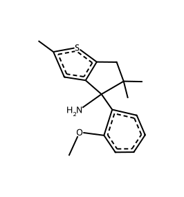 COc1ccccc1C1(N)c2cc(C)sc2CC1(C)C